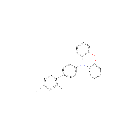 Cc1ccc(-c2ccc(N3c4ccccc4Oc4ccccc43)cc2)c(C#N)c1